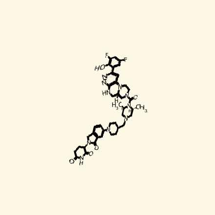 C[C@@H]1CN(CC2CCN(c3ccc4c(c3)C(=O)N(C3CCC(=O)NC3=O)C4)CC2)C[C@@H](C)N1C(=O)N1CCN2c3cc(-c4cc(F)cc(F)c4O)nnc3NC[C@H]2C1